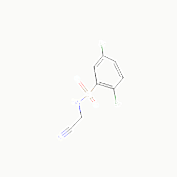 N#CCNS(=O)(=O)c1cc(Br)ccc1Br